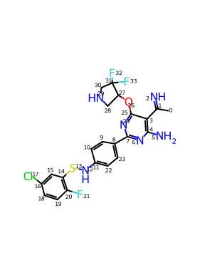 CC(=N)c1c(N)nc(-c2ccc(NSc3cc(Cl)ccc3F)cc2)nc1OC1CNCC1(F)F